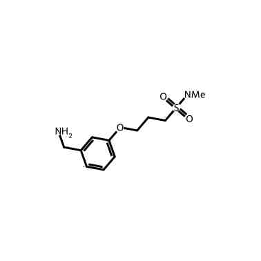 CNS(=O)(=O)CCCOc1cc[c]c(CN)c1